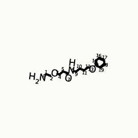 NCCOCCC(=O)NCCCCOc1ccccc1